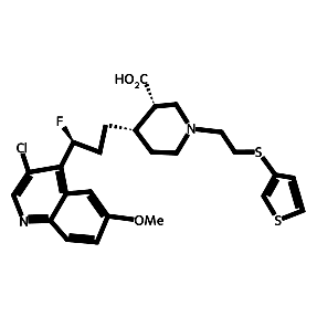 COc1ccc2ncc(Cl)c([C@@H](F)CC[C@H]3CCN(CCSc4ccsc4)C[C@H]3C(=O)O)c2c1